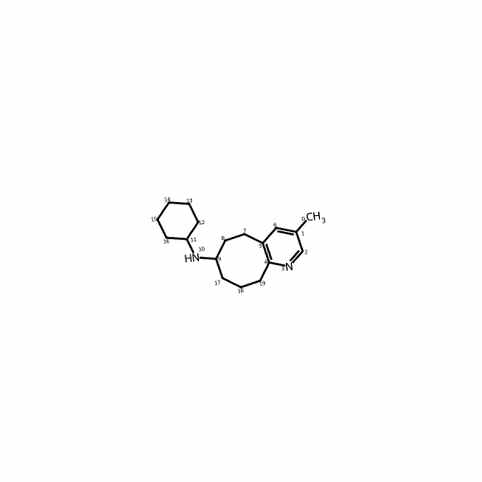 Cc1cnc2c(c1)CCC(NC1CCCCC1)CCC2